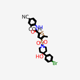 Cc1sc(C(=O)Nc2ccc(C#N)cc2C(=O)O)cc1S(=O)(=O)N1CCC(O)(c2ccc(Br)cc2)CC1